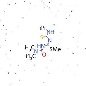 CSC(=NC(=S)NC(C)C)NC(=O)N(C)C